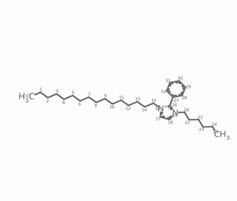 CCCCCCCCCCCCCCCC[n+]1ccn(CCCCCC)c1-c1ccccc1